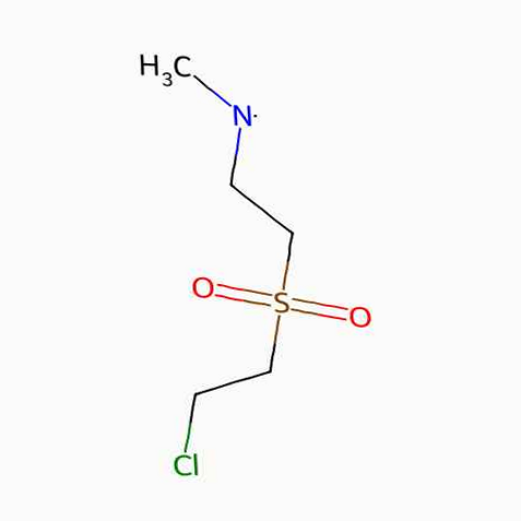 C[N]CCS(=O)(=O)CCCl